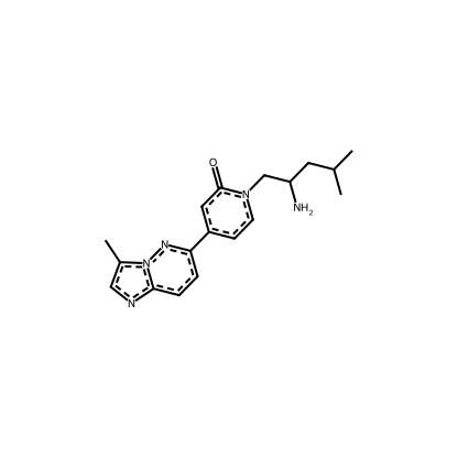 Cc1cnc2ccc(-c3ccn(CC(N)CC(C)C)c(=O)c3)nn12